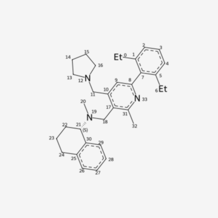 CCc1cccc(CC)c1-c1cc(CN2CCCC2)c(CN(C)[C@H]2CCCc3ccccc32)c(C)n1